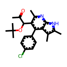 CC(=O)C(OC(C)(C)C)c1c(C)nc2[nH]c(C)c(C)c2c1-c1ccc(Cl)cc1